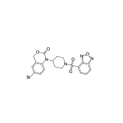 O=C1OCc2cc(Br)ccc2N1C1CCN(S(=O)(=O)c2cccc3nonc23)CC1